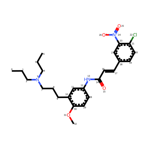 CCCN(CCC)CCCc1cc(NC(=O)C=Cc2ccc(Cl)c([N+](=O)[O-])c2)ccc1OC